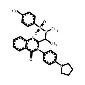 CC(c1nc2ccccc2c(=O)n1-c1ccc(N2CCCC2)cc1)N(C)S(=O)(=O)c1ccc(C(C)(C)C)cc1